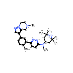 COc1ccc(-c2cnn3c2CN(C)CC3)cc1-c1ccc(N(C)C2CC(C)(C)NC(C)(C)C2)nn1